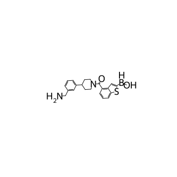 NCc1cccc(C2CCN(C(=O)c3cccc4sc(BO)cc34)CC2)c1